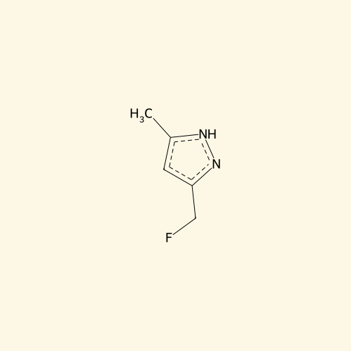 Cc1cc(CF)n[nH]1